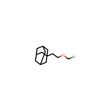 ClCOCCC12CC3CC(CC(C3)C1)C2